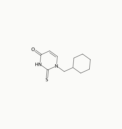 O=c1ccn(CC2CCCCC2)c(=S)[nH]1